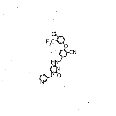 N#Cc1cc(CNc2ccn(Cc3cccnc3)c(=O)n2)ccc1Oc1ccc(Cl)c(C(F)(F)F)c1